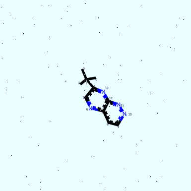 CC(C)(C)c1cnc2ccnnc2n1